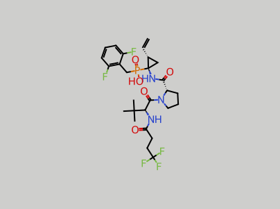 C=C[C@@H]1C[C@]1(NC(=O)[C@@H]1CCCN1C(=O)[C@@H](NC(=O)CCC(F)(F)F)C(C)(C)C)P(=O)(O)Cc1c(F)cccc1F